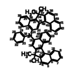 CC1(C)c2ccc3ccccc3c2-c2c1cc(N(c1ccccc1)c1cc3c(c4ccccc14)C(C)(C)c1ccc4ccccc4c1-3)c1ccccc21